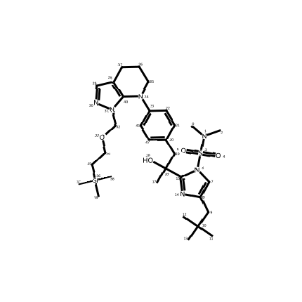 CN(C)S(=O)(=O)n1cc(CC(C)(C)C)nc1C(C)(O)Cc1ccc(N2CCCc3cnn(COCC[Si](C)(C)C)c32)cc1